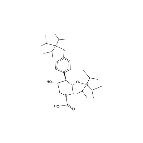 CC(C)[Si](O[C@@H]1CN(C(=O)O)C[C@H](O)[C@H]1c1ccc(S[Si](C(C)C)(C(C)C)C(C)C)cc1)(C(C)C)C(C)C